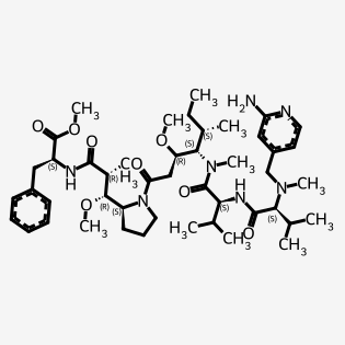 CC[C@H](C)[C@@H]([C@@H](CC(=O)N1CCC[C@H]1[C@H](OC)[C@@H](C)C(=O)N[C@@H](Cc1ccccc1)C(=O)OC)OC)N(C)C(=O)[C@@H](NC(=O)[C@H](C(C)C)N(C)Cc1ccnc(N)c1)C(C)C